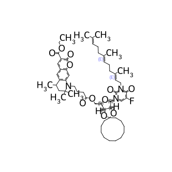 CCOC(=O)c1cc2cc3c(cc2oc1=O)N(CCCC(=O)OC[C@H]1O[C@@H](n2cc(F)c(=O)n(C/C=C(\C)CC/C=C(\C)CCC=C(C)C)c2=O)[C@@H]2OC4(CCCCCCCCCCC4)O[C@@H]21)C(C)(C)CC3C